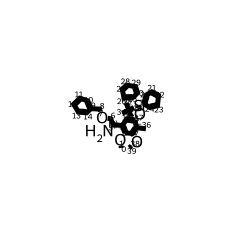 COc1c([C@@H](N)COCc2ccccc2)cc(O[Si](c2ccccc2)(c2ccccc2)C(C)(C)C)c(C)c1OC